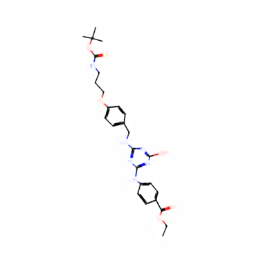 CCOC(=O)c1ccc(Nc2nc(O)nc(NCc3ccc(OCCCNC(=O)OC(C)(C)C)cc3)n2)cc1